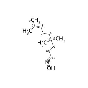 CC(C)=CCCC(C)(C)CCC=NO